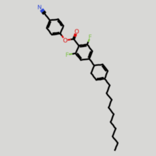 CCCCCCCCCCC1=CCC(c2cc(F)c(C(=O)Oc3ccc(C#N)cc3)c(F)c2)C=C1